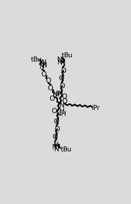 CC(C)CCCCCCCCCCC(=O)NC(CCC(=O)NCCOCCOCCOCCn1cc(C(C)(C)C)nn1)(CCC(=O)NCCOCCOCCOCCn1cc(C(C)(C)C)nn1)CCC(=O)NCCOCCOCCOCCn1cc(C(C)(C)C)nn1